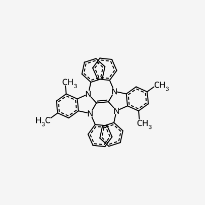 Cc1cc(C)c2c(c1)N(c1ccccc1)/C(=C1/N(c3ccccc3)c3cc(C)cc(C)c3N1c1ccccc1)N2c1ccccc1